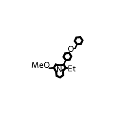 CCc1c(-c2ccc(OCc3ccccc3)cc2)c2cc(COC)c3cccc1n32